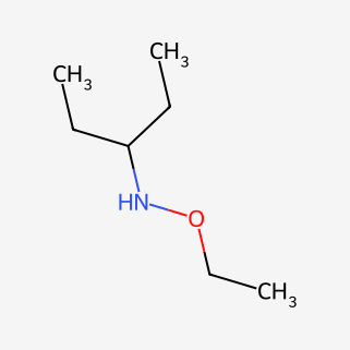 CCONC(CC)CC